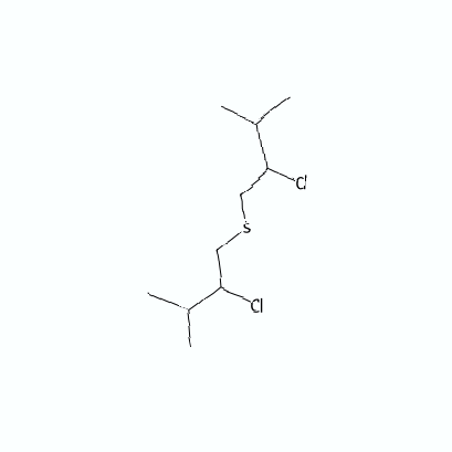 CC(C)C(Cl)CSCC(Cl)C(C)C